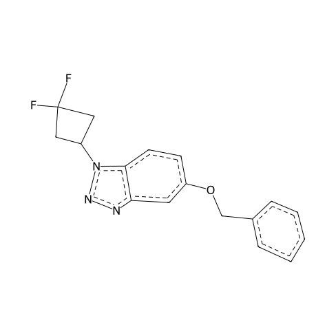 FC1(F)CC(n2nnc3cc(OCc4ccccc4)ccc32)C1